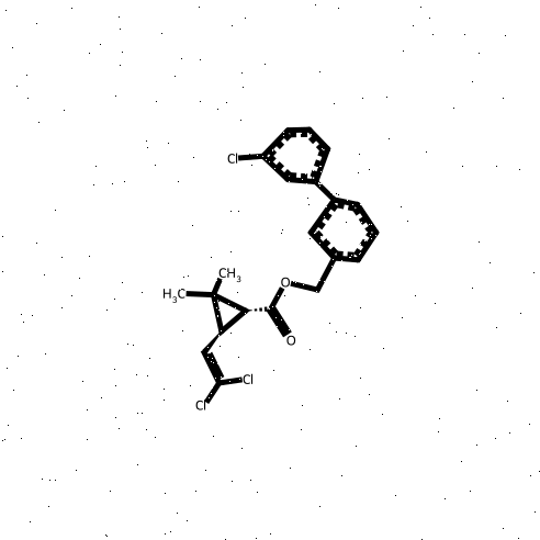 CC1(C)[C@H](C=C(Cl)Cl)[C@H]1C(=O)OCc1cccc(-c2cccc(Cl)c2)c1